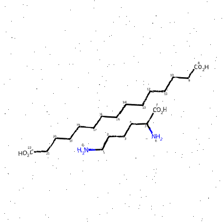 NCCCCC(N)C(=O)O.O=C(O)CCCCCCCCCCCCCC(=O)O